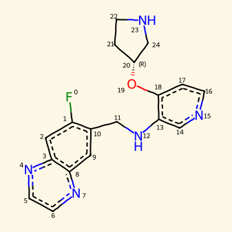 Fc1cc2nccnc2cc1CNc1cnccc1O[C@@H]1CCNC1